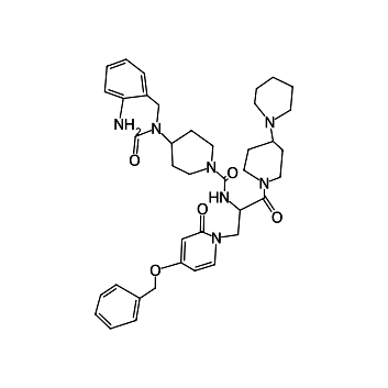 Nc1ccccc1CN(C=O)C1CCN(C(=O)NC(Cn2ccc(OCc3ccccc3)cc2=O)C(=O)N2CCC(N3CCCCC3)CC2)CC1